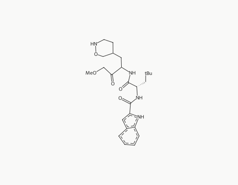 COCC(=O)C(CC1CCNOC1)NC(=O)[C@H](CC(C)(C)C)NC(=O)c1cc2ccccc2[nH]1